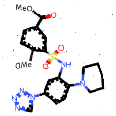 COC(=O)c1ccc(OC)c(S(=O)(=O)Nc2cc(-n3cnnn3)ccc2N2CCCCC2)c1